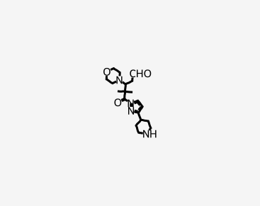 CC(C)(C(=O)n1ccc(C2CCNCC2)n1)C(CC=O)N1CCOCC1